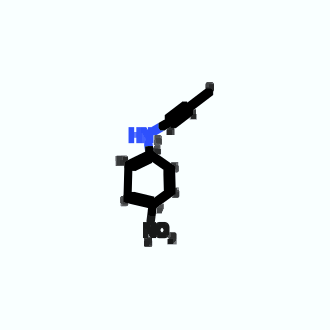 CC#CNc1ccc([N+](=O)[O-])cc1